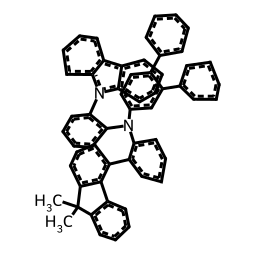 CC1(C)c2ccccc2-c2c(-c3ccccc3N(c3ccc(-c4ccccc4)c(-c4ccccc4)c3)c3ccccc3-n3c4ccccc4c4ccccc43)cccc21